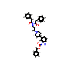 O=C(Nc1cccc(C2CCN(CCCN(C(=O)Cc3ccccc3)C(=O)Cc3ccccc3)CC2)c1)OCc1ccccc1